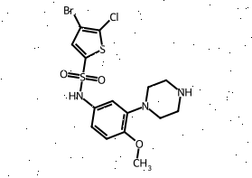 COc1ccc(NS(=O)(=O)c2cc(Br)c(Cl)s2)cc1N1CCNCC1